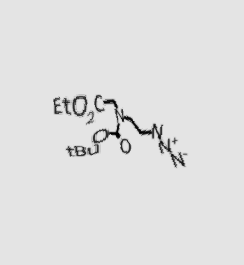 CCOC(=O)CN(CCN=[N+]=[N-])C(=O)OC(C)(C)C